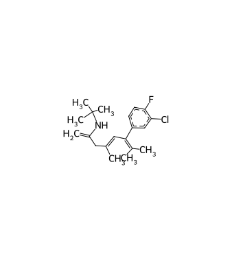 C=C(C/C(C)=C/C(=C(C)C)c1ccc(F)c(Cl)c1)NC(C)(C)C